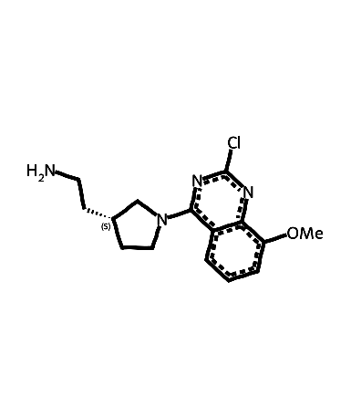 COc1cccc2c(N3CC[C@H](CCN)C3)nc(Cl)nc12